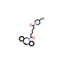 CC(C)C1CCN(C(=O)CCCCC(=O)N2Cc3ccccc3/C=C\c3ccccc32)CC1